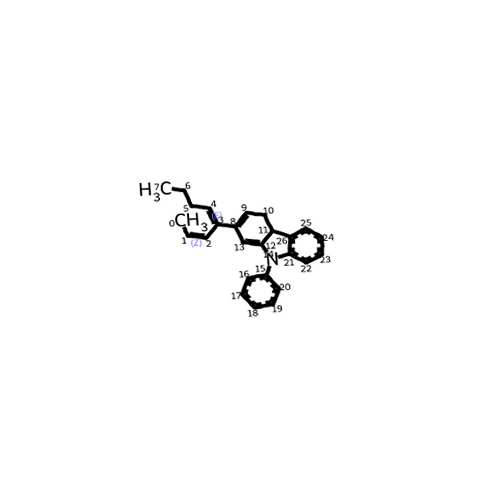 C/C=C\C(=C/CCC)C1=CCC2C(=C1)N(c1ccccc1)c1ccccc12